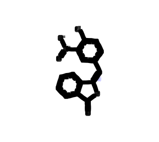 O=C1O/C(=C/c2ccc(Cl)c([N+](=O)[O-])c2)c2ccccc21